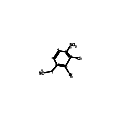 N#CCc1ccc([N+](=O)[O-])c(Cl)c1Br